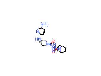 NC(=O)N1C2CCC1CC(NC(=O)N1CC[C@@H](Nc3ccc(N)cn3)C1)C2